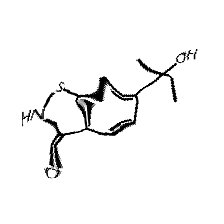 CC(C)(O)c1ccc2c(=O)[nH]sc2c1